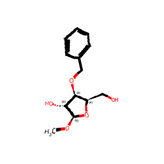 CO[C@@H]1O[C@H](CO)[C@H](OCc2ccccc2)[C@H]1O